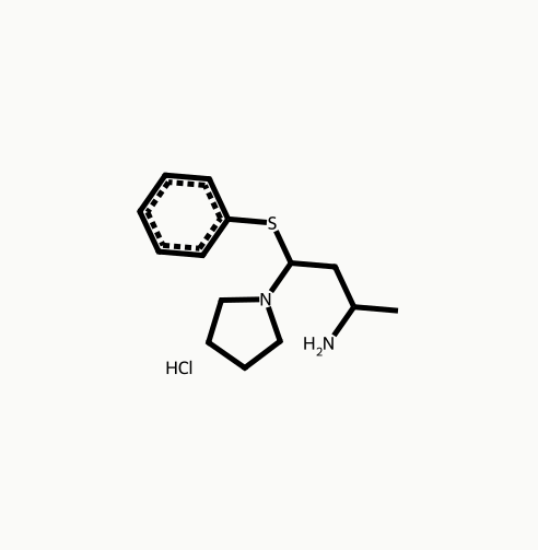 CC(N)CC(Sc1ccccc1)N1CCCC1.Cl